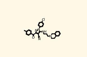 Cc1ccc(C(=O)c2nn(-c3ccc(Cl)cc3)c(NCCCN3CCc4ccccc4C3)c2C#N)cc1